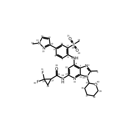 Cc1nc2c(Nc3ccc(-c4ccn(C)n4)cc3S(C)(=O)=O)cc(NC(=O)C3CC3(F)F)nc2n1C1CCCCO1